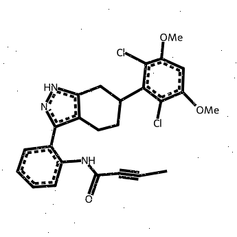 CC#CC(=O)Nc1ccccc1-c1n[nH]c2c1CCC(c1c(Cl)c(OC)cc(OC)c1Cl)C2